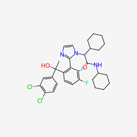 CC(O)(c1ccc(Cl)c(Cl)c1)c1ccc(F)c(F)c1-c1nccn1C(C(=O)NC1CCCCC1)C1CCCCC1